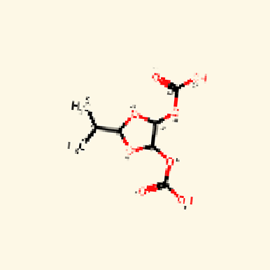 CC(C)C1OC(OC(=O)O)C(OC(=O)O)O1